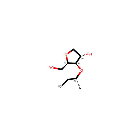 CC(C)C[C@@H](C)O[C@@H]1[C@@H](O)CO[C@@H]1CO